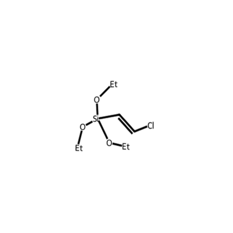 CCO[Si](C=CCl)(OCC)OCC